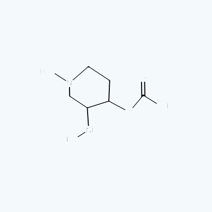 CNC1CN(C)CCC1OC(C)=O